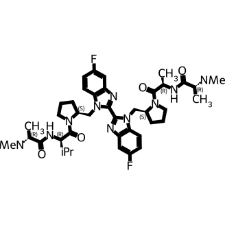 CN[C@H](C)C(=O)N[C@H](C)C(=O)N1CCC[C@H]1Cn1c(-c2nc3cc(F)ccc3n2C[C@@H]2CCCN2C(=O)[C@H](NC(=O)[C@@H](C)NC)C(C)C)nc2cc(F)ccc21